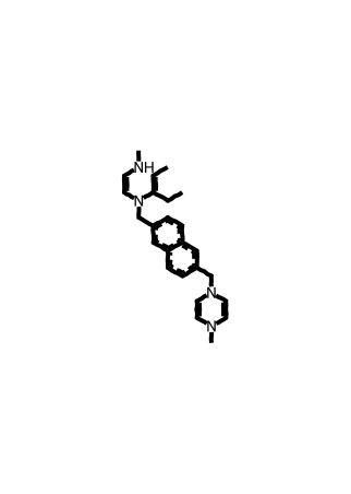 C/C=C(\CC)N(/C=C\NC)Cc1ccc2cc(CN3C=CN(C)C=C3)ccc2c1